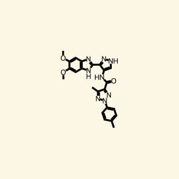 COc1cc2nc(-c3n[nH]cc3NC(=O)c3nn(-c4ccc(C)cc4)nc3C)[nH]c2cc1OC